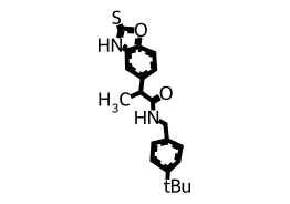 CC(C(=O)NCc1ccc(C(C)(C)C)cc1)c1ccc2oc(=S)[nH]c2c1